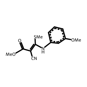 COC(=O)/C(C#N)=C(/Nc1cccc(OC)c1)SC